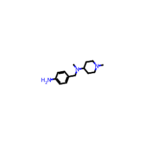 CN1CCC(N(C)Cc2ccc(N)cc2)CC1